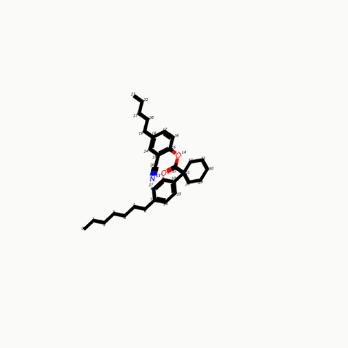 CCCCCCCc1ccc(C2(C(=O)Oc3ccc(CCCCC)cc3C#N)CCCCC2)cc1